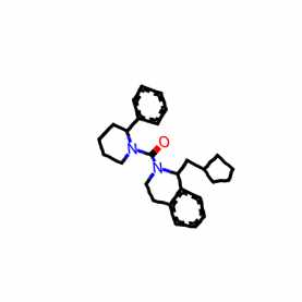 O=C(N1CCCCC1c1ccccc1)N1CCc2ccccc2C1CC1CCCC1